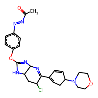 CC(=O)N=Nc1ccc(OC2=NC3N=C(C4=CCC(N5CCOCC5)C=C4)C(Cl)CC3N2)cc1